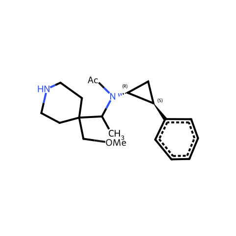 COCC1(C(C)N(C(C)=O)[C@@H]2C[C@H]2c2ccccc2)CCNCC1